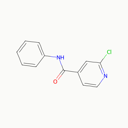 O=C(Nc1ccccc1)c1ccnc(Cl)c1